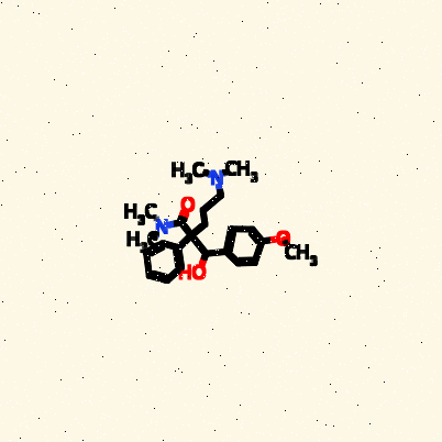 COc1ccc(C(O)C(CCCN(C)C)(C(=O)N(C)C)c2ccccc2)cc1